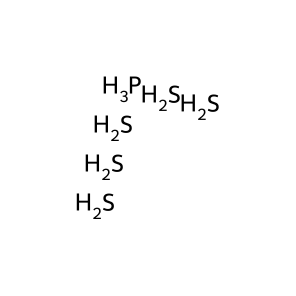 P.S.S.S.S.S